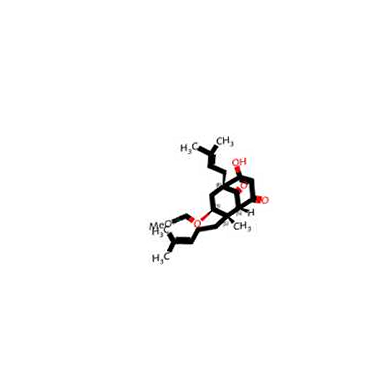 COCO[C@H]1C[C@@]2(CC=C(C)C)C(=O)[C@H](C(=O)C=C2O)[C@]1(C)CCC=C(C)C